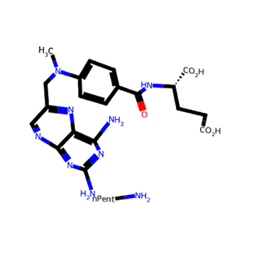 CCCCCN.CN(Cc1cnc2nc(N)nc(N)c2n1)c1ccc(C(=O)N[C@@H](CCC(=O)O)C(=O)O)cc1